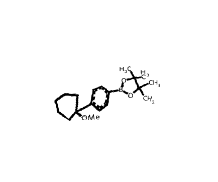 COC1(c2ccc(B3OC(C)(C)C(C)(C)O3)cc2)CCCCC1